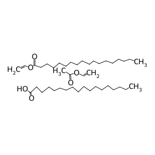 C=COC(=O)CCCCCCCCCCCCCCCCC.C=COC(C)=O.CCCCCCCCCCCCCCCCCC(=O)O